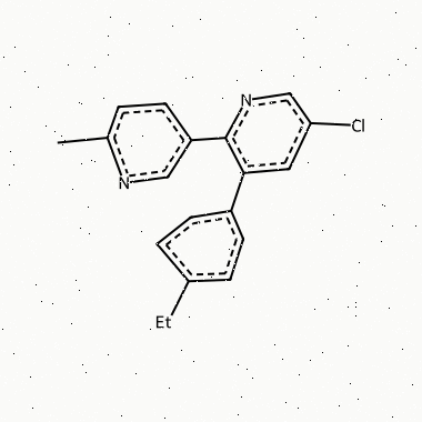 CCc1ccc(-c2cc(Cl)cnc2-c2ccc(C)nc2)cc1